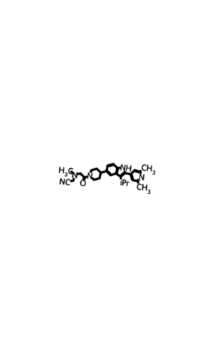 Cc1cc(-c2[nH]c3ccc(C4CCN(C(=O)CN(C)CC#N)CC4)cc3c2C(C)C)cc(C)n1